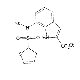 CCOC(=O)c1cc2cccc(N(CC)S(=O)(=O)C3CC=CS3)c2[nH]1